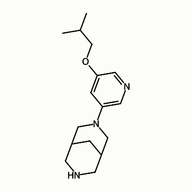 CC(C)COc1cncc(N2CC3CNCC(C3)C2)c1